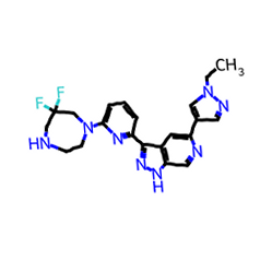 CCn1cc(-c2cc3c(-c4cccc(N5CCNCC(F)(F)C5)n4)n[nH]c3cn2)cn1